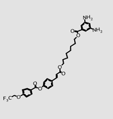 Nc1cc(N)cc(C(=O)OCCCCCCCCOC(=O)C=Cc2ccc(OC(=O)c3ccc(OCC(F)(F)F)cc3)cc2)c1